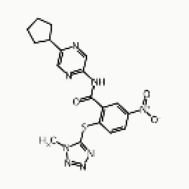 Cn1nnnc1Sc1ccc([N+](=O)[O-])cc1C(=O)Nc1cnc(C2CCCC2)cn1